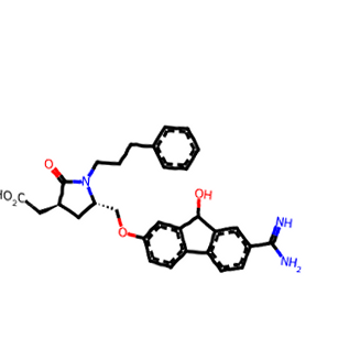 N=C(N)c1ccc2c(c1)C(O)c1cc(OC[C@@H]3C[C@@H](CC(=O)O)C(=O)N3CCCc3ccccc3)ccc1-2